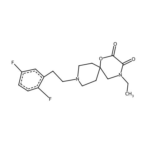 CCN1CC2(CCN(CCc3cc(F)ccc3F)CC2)OC(=O)C1=O